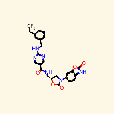 O=C(NC[C@H]1CN(c2ccc3[nH]c(=O)oc3c2)C(=O)O1)c1cnc(NCc2cccc(CC(F)(F)F)c2)nc1